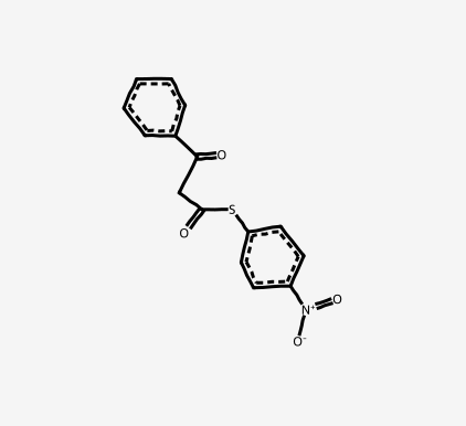 O=C(CC(=O)c1ccccc1)Sc1ccc([N+](=O)[O-])cc1